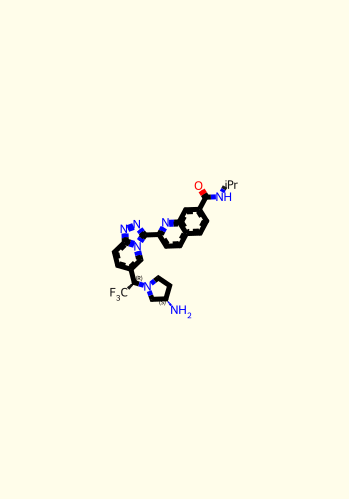 CC(C)NC(=O)c1ccc2ccc(-c3nnc4ccc([C@@H](N5CC[C@H](N)C5)C(F)(F)F)cn34)nc2c1